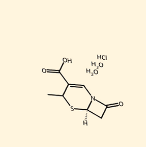 CC1S[C@@H]2CC(=O)N2C=C1C(=O)O.Cl.O.O